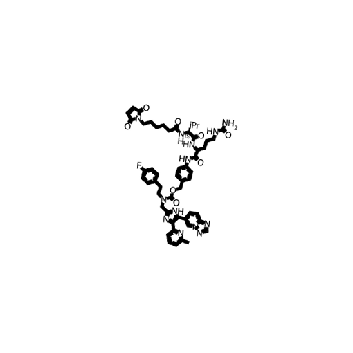 Cc1cccc(-c2nc(CN(CCc3ccc(F)cc3)C(=O)OCc3ccc(NC(=O)C(CCCNC(N)=O)NC(=O)[C@@H](NC(=O)CCCCCN4C(=O)C=CC4=O)C(C)C)cc3)[nH]c2-c2ccc3ncnn3c2)n1